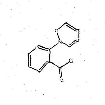 O=C(Cl)c1ccccc1N1C=CC=CO1